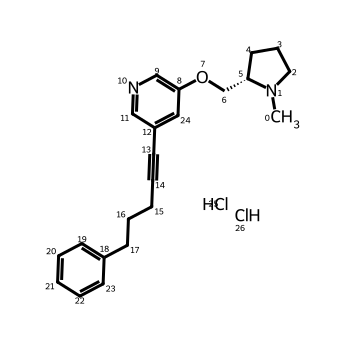 CN1CCC[C@H]1COc1cncc(C#CCCCc2ccccc2)c1.Cl.Cl